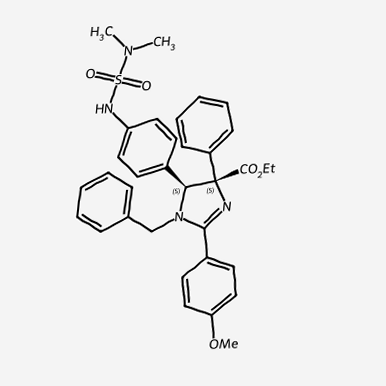 CCOC(=O)[C@@]1(c2ccccc2)N=C(c2ccc(OC)cc2)N(Cc2ccccc2)[C@H]1c1ccc(NS(=O)(=O)N(C)C)cc1